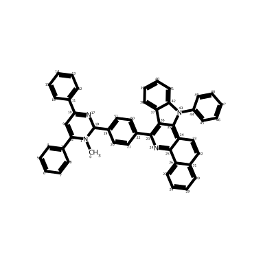 CN1C(c2ccccc2)=CC(c2ccccc2)=NC1c1ccc(-c2nc3c4ccccc4ccc3c3c2c2ccccc2n3-c2ccccc2)cc1